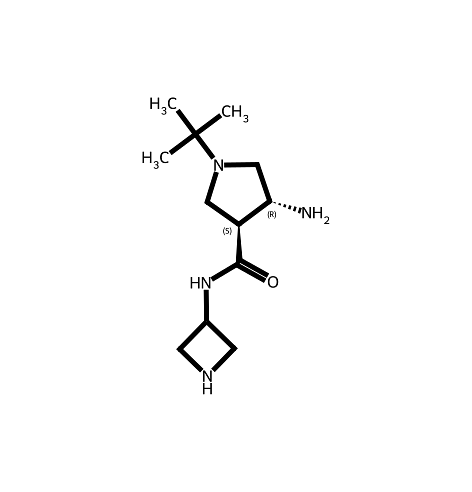 CC(C)(C)N1C[C@H](C(=O)NC2CNC2)[C@@H](N)C1